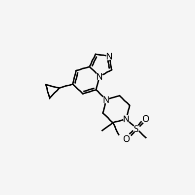 CC1(C)CN(c2cc(C3CC3)cc3cncn23)CCN1S(C)(=O)=O